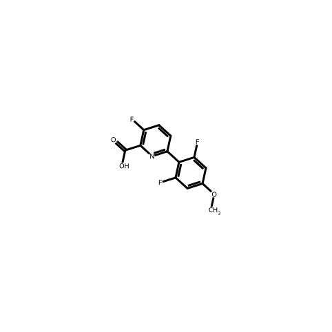 COc1cc(F)c(-c2ccc(F)c(C(=O)O)n2)c(F)c1